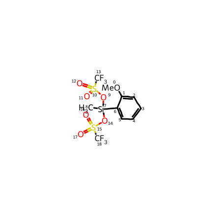 COc1ccccc1[Si](C)(OS(=O)(=O)C(F)(F)F)OS(=O)(=O)C(F)(F)F